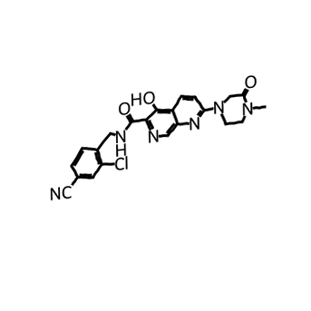 CN1CCN(c2ccc3c(O)c(C(=O)NCc4ccc(C#N)cc4Cl)ncc3n2)CC1=O